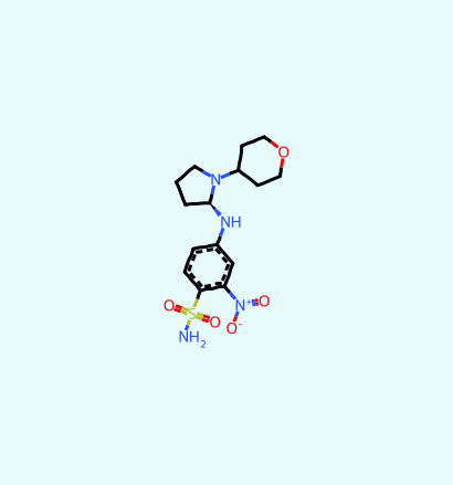 NS(=O)(=O)c1ccc(N[C@H]2CCCN2C2CCOCC2)cc1[N+](=O)[O-]